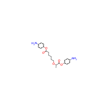 CC(OCCCCCC(=O)Oc1ccc(N)cc1)C(=O)Oc1ccc(N)cc1